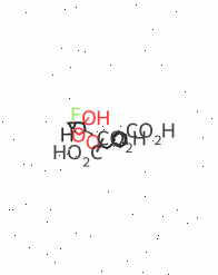 O=C(O)c1ccc(CC(OC[C@H]2O[C@H]3C[C@]3(F)[C@H]2O)(C(=O)O)C(=O)O)cc1